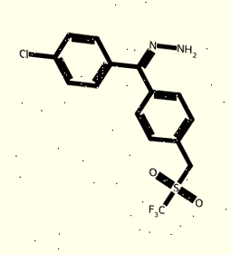 NN=C(c1ccc(Cl)cc1)c1ccc(CS(=O)(=O)C(F)(F)F)cc1